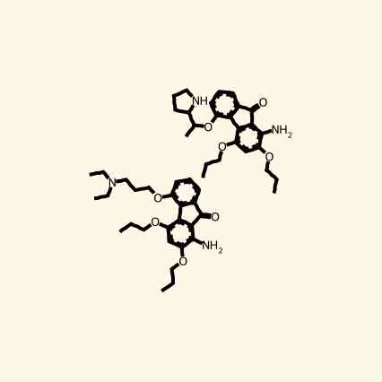 CCCOc1cc(OCCC)c2c(c1N)C(=O)c1cccc(OC(C)C3CCCN3)c1-2.CCCOc1cc(OCCC)c2c(c1N)C(=O)c1cccc(OCCCN(CC)CC)c1-2